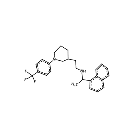 CC(NCCC1CCCN(c2ccc(C(F)(F)F)cc2)C1)c1cccc2ccccc12